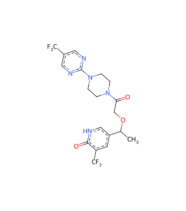 CC(OCC(=O)N1CCN(c2ncc(C(F)(F)F)cn2)CC1)c1c[nH]c(=O)c(C(F)(F)F)c1